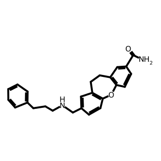 NC(=O)c1ccc2c(c1)CCc1cc(CNCCCc3ccccc3)ccc1O2